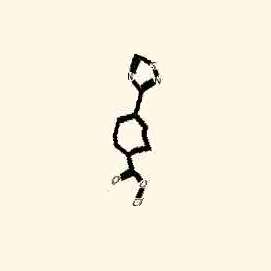 O=C(OCl)C1CCC(c2ncsn2)CC1